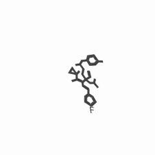 C=CC(CCC(C)Cc1ccc(C)cc1)(CC(C)C)C(/C=C/c1ccc(F)cc1)=C(/C)C1(C)CC1